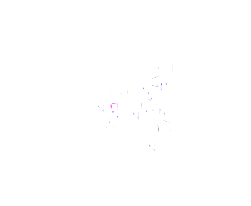 Cc1cc(Nc2cc(NCCNC(=O)[C@H](C)N(C)C(=O)OC(C)(C)C)nc(Nc3ccc(CC#N)cc3)n2)n[nH]1